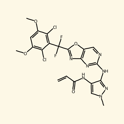 C=CC(=O)Nc1cn(C)nc1Nc1ncc2oc(C(F)(F)c3c(Cl)c(OC)cc(OC)c3Cl)nc2n1